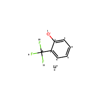 [Li+].[O-]c1ccccc1C(F)(F)F